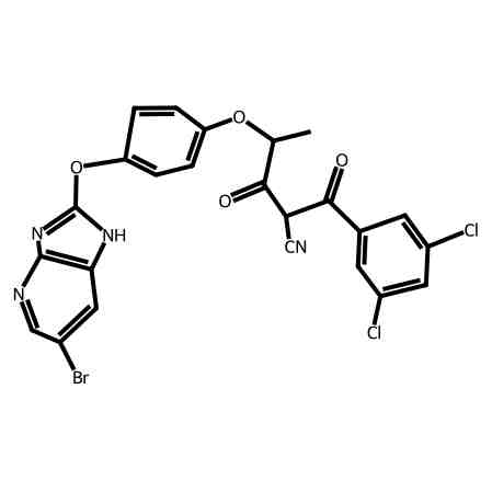 CC(Oc1ccc(Oc2nc3ncc(Br)cc3[nH]2)cc1)C(=O)C(C#N)C(=O)c1cc(Cl)cc(Cl)c1